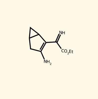 CCOC(=O)C(=N)C1=C(N)CC2CC12